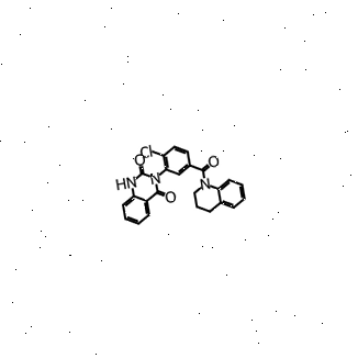 O=C(c1ccc(Cl)c(-n2c(=O)[nH]c3ccccc3c2=O)c1)N1CCCc2ccccc21